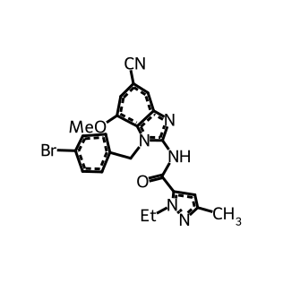 CCn1nc(C)cc1C(=O)Nc1nc2cc(C#N)cc(OC)c2n1Cc1ccc(Br)cc1